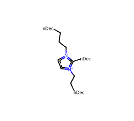 CCCCCCCCCCCCCn1cc[n+](CCCCCCCCCCCC)c1CCCCCCCCCC